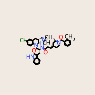 Cc1ccccc1C(=O)N1CCC(CCC(=O)N[C@H](Cc2c[nH]c3ccccc23)C(=O)N2C[C@@H](CN(C)C)Cc3cc(Cl)ccc32)CC1